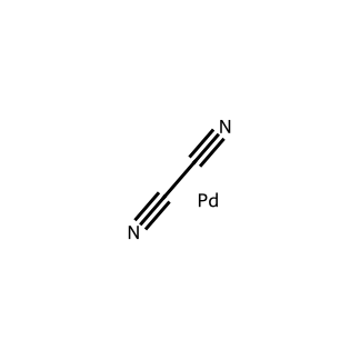 N#CC#N.[Pd]